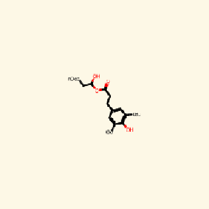 CCCCCCCCCCCC(O)OC(=O)CCc1cc(C(C)(C)C)c(O)c(C(C)(C)C)c1